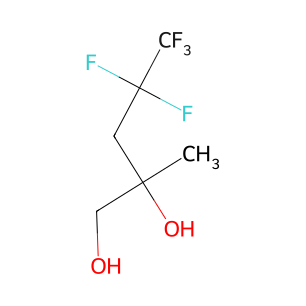 CC(O)(CO)CC(F)(F)C(F)(F)F